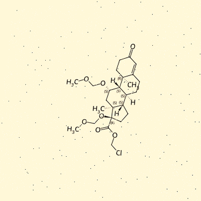 COCO[C@H]1C[C@@]2(C)[C@@H](CC[C@]2(OCOC)C(=O)OCCl)[C@@H]2CCC3=CC(=O)CC[C@]3(C)[C@H]21